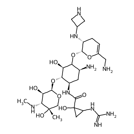 CN[C@@H]1[C@@H](O)[C@@H](O[C@H]2[C@H](NC(=O)C3(O)CC3NC(=N)N)C[C@H](N)C(O[C@H]3OC(CN)=CC[C@H]3NC3CNC3)[C@@H]2O)OC[C@]1(C)O